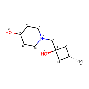 CC(C)[C@H]1C[C@@](O)(CN2CCC(O)CC2)C1